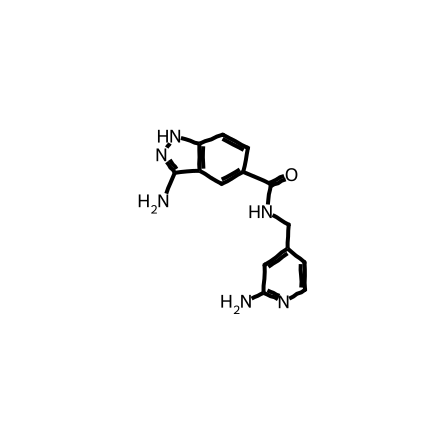 Nc1cc(CNC(=O)c2ccc3[nH]nc(N)c3c2)ccn1